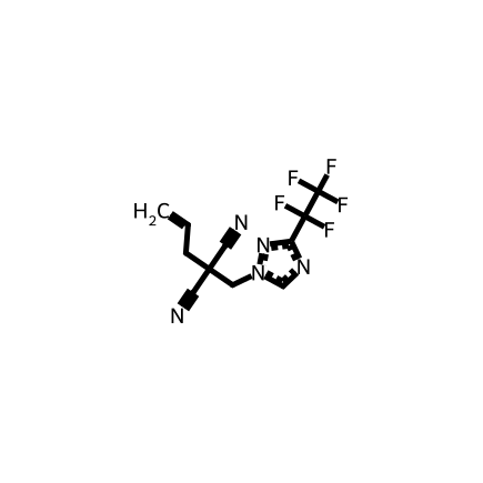 C=CCC(C#N)(C#N)Cn1cnc(C(F)(F)C(F)(F)F)n1